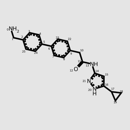 NCc1ccc(-c2ccc(CC(=O)Nc3cc(C4CC4)[nH]n3)cc2)cc1